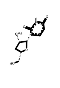 CO[C@H]1C[C@@H](CO)O[C@H]1n1ccc(=O)[nH]c1=O